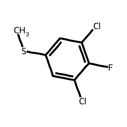 CSc1cc(Cl)c(F)c(Cl)c1